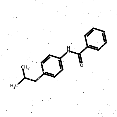 CC(C)Cc1ccc(NC(=O)c2ccccc2)cc1